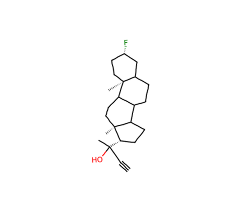 C#CC(C)(O)[C@H]1CCC2C3CCC4C[C@@H](F)CC[C@]4(C)C3CC[C@@]21C